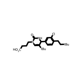 CC(C)(C)CCc1ccc(C2NC(=O)N(CCCC(=O)O)C=C2C(C)(C)C)cc1Cl